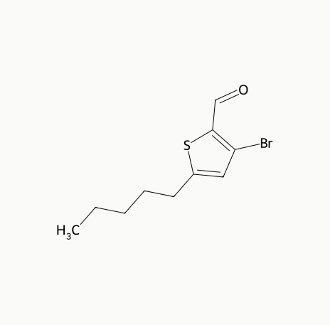 CCCCCc1cc(Br)c(C=O)s1